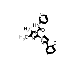 Cc1nc(-n2ccc(-c3ccccc3Cl)n2)n(C(=O)Nc2cccnc2)c1C